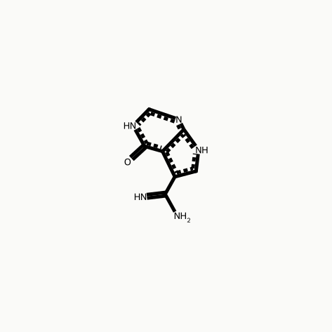 N=C(N)c1c[nH]c2nc[nH]c(=O)c12